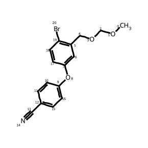 COCOCc1cc(Oc2ccc(C#N)cc2)ccc1Br